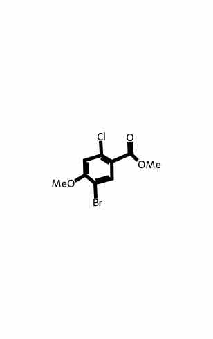 COC(=O)c1cc(Br)c(OC)cc1Cl